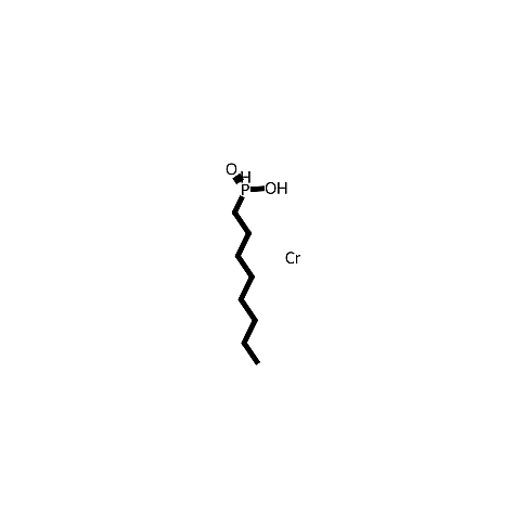 CCCCCCCC[PH](=O)O.[Cr]